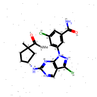 CNC(=O)C1(C)CC[C@@H](Nc2ncc3c(Br)nn(-c4cc(Cl)cc(C(N)=O)c4)c3n2)C1